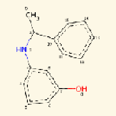 CC(Nc1cccc(O)c1)c1ccccc1